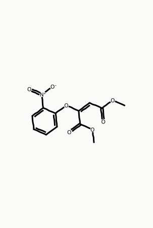 COC(=O)C=C(Oc1ccccc1[N+](=O)[O-])C(=O)OC